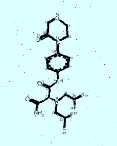 NC(=O)[C@@H](C(=O)Nc1ccc(N2CCOCC2=O)cc1)N(CC(F)F)CC(F)F